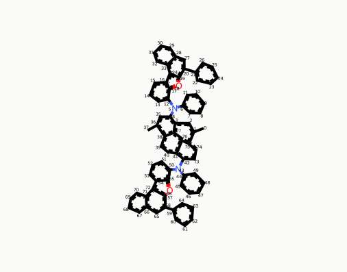 Cc1cc2c(N(c3ccccc3)c3cccc4c3oc3c(-c5ccccc5)cc5ccccc5c34)cc(C)c3ccc4c(N(c5ccccc5)c5cccc6c5oc5c(-c7ccccc7)cc7ccccc7c56)ccc1c4c32